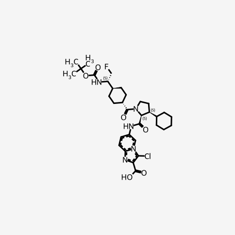 CC(C)(C)OC(=O)N[C@H](CF)[C@H]1CC[C@H](C(=O)N2CC[C@@H](C3CCCCC3)[C@H]2C(=O)Nc2ccc3nc(C(=O)O)c(Cl)n3c2)CC1